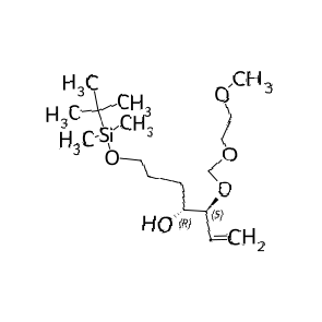 C=C[C@H](OCOCCOC)[C@H](O)CCCO[Si](C)(C)C(C)(C)C